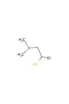 CCC(S)CN(C)C